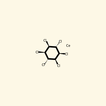 Cl[C@H]1[C@H](Cl)[C@@H](Cl)[C@@H](Cl)[C@H](Cl)[C@H]1Cl.[Ce]